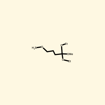 CCOC(CCCO[SiH3])(OC)OCC